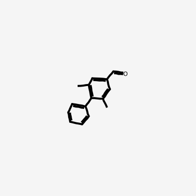 Cc1cc(C=O)cc(C)c1-c1ccccc1